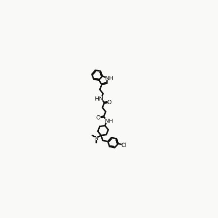 CN(C)C1(Cc2ccc(Cl)cc2)CCC(NC(=O)CCC(=O)NCCc2c[nH]c3ccccc23)CC1